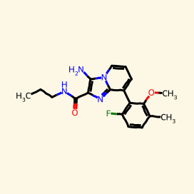 CCCNC(=O)c1nc2c(-c3c(F)ccc(C)c3OC)cccn2c1N